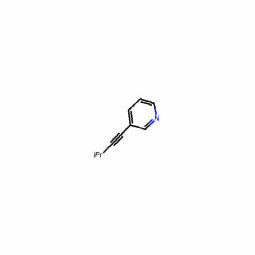 CC(C)C#Cc1cccnc1